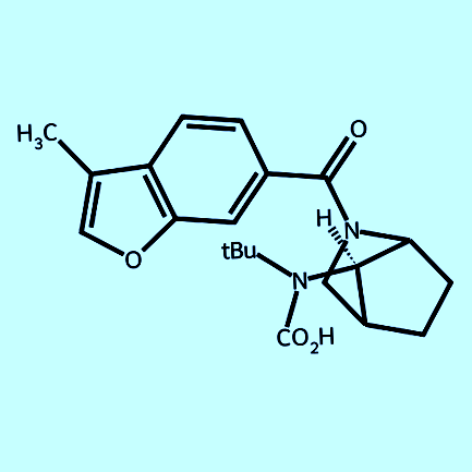 Cc1coc2cc(C(=O)N3CC4CCC3[C@@H]4N(C(=O)O)C(C)(C)C)ccc12